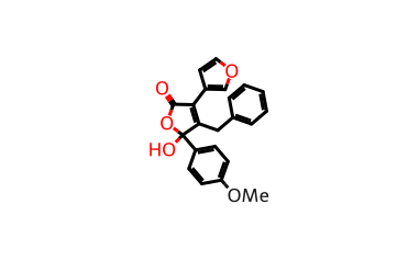 COc1ccc(C2(O)OC(=O)C(c3ccoc3)=C2Cc2ccccc2)cc1